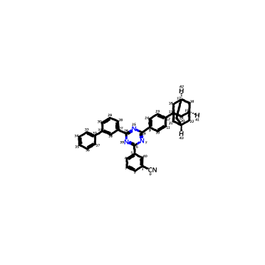 N#Cc1cccc(-c2nc(-c3ccc(C45C[C@H]6C[C@H](C4)C[C@@H](C5)C6)cc3)nc(-c3cccc(-c4ccccc4)c3)n2)c1